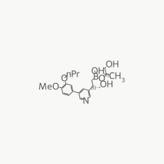 CCCOc1cc(-c2cncc([C@@H](CO)CB(O)O[C@H](C)CO)c2)ccc1OC